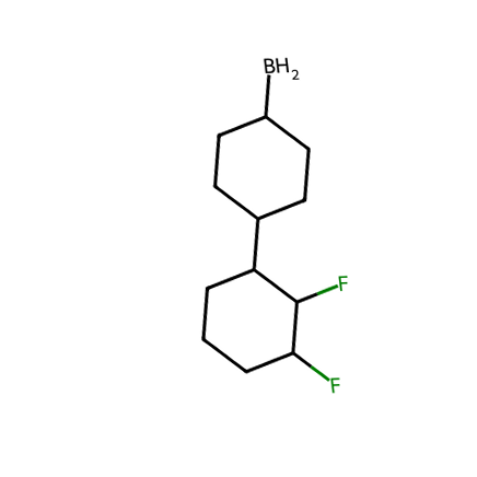 BC1CCC(C2CCCC(F)C2F)CC1